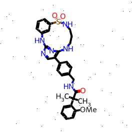 COc1ccccc1C(C)(C)C(=O)NCc1ccc(-c2cnc3nc2NCCCNS(=O)(=O)c2cccc(c2)N3)cc1